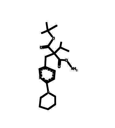 CC(C)C(Cc1ccc(N2CCCCC2)nc1)(C(=O)ON)C(=O)OC(C)(C)C